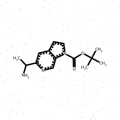 CC(N)c1cc2ccn(C(=O)OC(C)(C)C)c2cn1